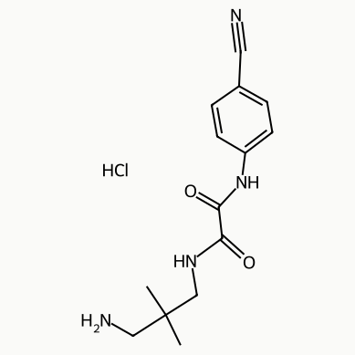 CC(C)(CN)CNC(=O)C(=O)Nc1ccc(C#N)cc1.Cl